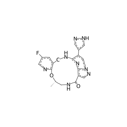 C[C@H]1CNC(=O)c2cnn3cc(-c4cn[nH]c4)c(nc23)NCc2cc(F)cnc2O1